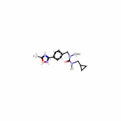 CCN(CC1CC1)C(=O)N(Cc1ccc(-c2noc(C(F)(F)F)n2)cc1)OC